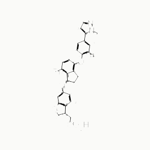 Cn1nccc1-c1ccc(Oc2ccc(F)c3c2CC[C@H]3Oc2ccc3c(c2)OCC3CC(=O)O)c(F)c1